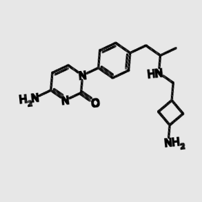 CC(Cc1ccc(-n2ccc(N)nc2=O)cc1)NCC1CC(N)C1